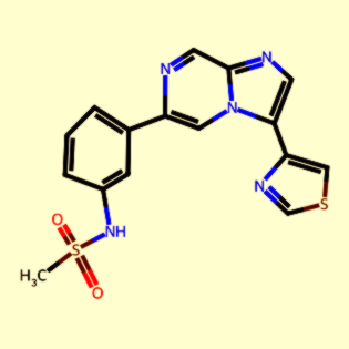 CS(=O)(=O)Nc1cccc(-c2cn3c(-c4cscn4)cnc3cn2)c1